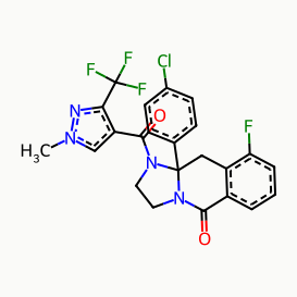 Cn1cc(C(=O)N2CCN3C(=O)c4cccc(F)c4CC23c2ccc(Cl)cc2)c(C(F)(F)F)n1